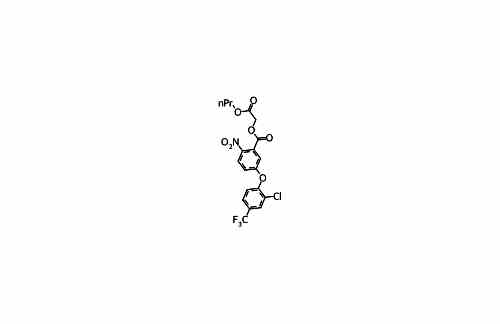 CCCOC(=O)COC(=O)c1cc(Oc2ccc(C(F)(F)F)cc2Cl)ccc1[N+](=O)[O-]